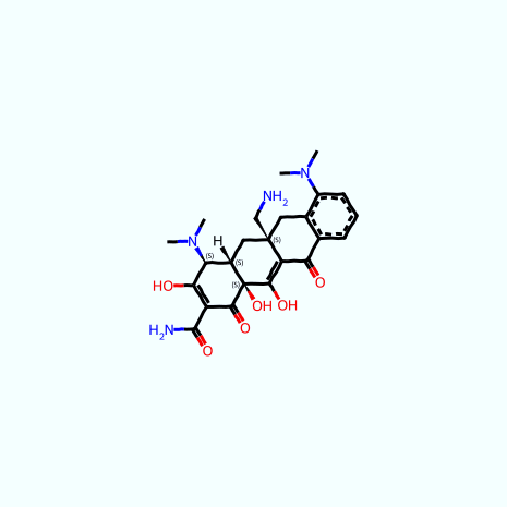 CN(C)c1cccc2c1C[C@@]1(CN)C[C@H]3[C@H](N(C)C)C(O)=C(C(N)=O)C(=O)[C@@]3(O)C(O)=C1C2=O